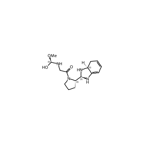 CO[C@H](O)NCC(=O)N1CCC[C@H]1[C@@H]1NC2=CC=CC[C@@H]2N1